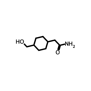 NC(=O)CC1CCC(CO)CC1